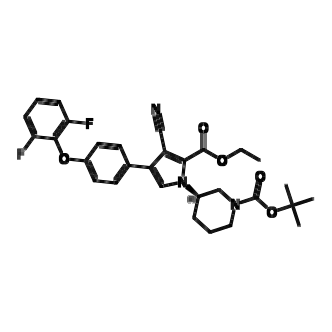 CCOC(=O)c1c(C#N)c(-c2ccc(Oc3c(F)cccc3F)cc2)cn1[C@@H]1CCCN(C(=O)OC(C)(C)C)C1